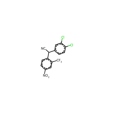 N#CC(c1ccc(Cl)c(Cl)c1)c1ccc([N+](=O)[O-])cc1C(F)(F)F